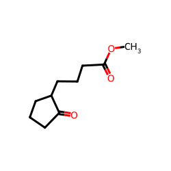 COC(=O)CCCC1CCCC1=O